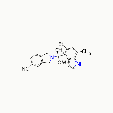 CCc1cc(C)c2[nH]ccc2c1C(C)(OC)N1Cc2ccc(C#N)cc2C1